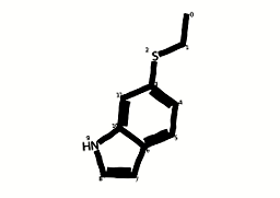 CCSc1ccc2cc[nH]c2c1